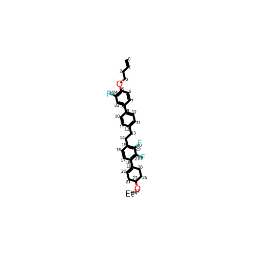 C=CCCOc1ccc(-c2ccc(CCc3ccc(C4=CCC(OCC)CC4)c(F)c3F)cc2)cc1F